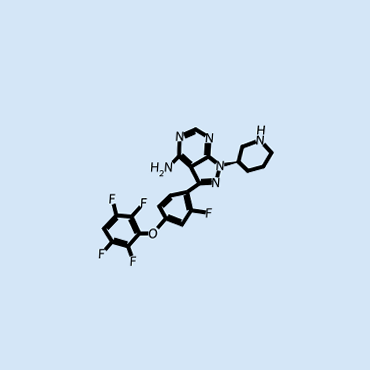 Nc1ncnc2c1c(-c1ccc(Oc3c(F)c(F)cc(F)c3F)cc1F)nn2[C@@H]1CCCNC1